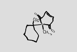 C[N+]1(C2(C(=O)[O-])CCCCC2)C(=O)C=CC1=O